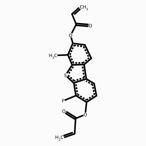 C=CC(=O)Oc1ccc2c(sc3c(F)c(OC(=O)C=C)ccc32)c1C